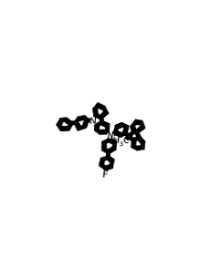 CC1(c2cccc(N(c3ccc(-c4ccc(F)cc4)cc3)c3ccc4c(c3)c3ccccc3n4-c3ccc(-c4ccccc4)cc3)c2)c2ccccc2-c2ccccc21